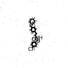 O=S(=O)(NCCc1ccc(CN2CCCCC2)cc1)c1ccc(Cl)cc1